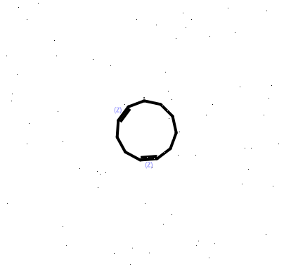 [CH]1/C=C\CC/C=C\CCCC1